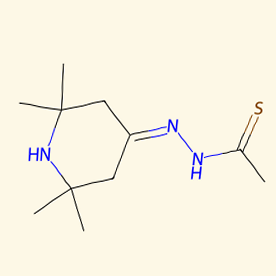 CC(=S)NN=C1CC(C)(C)NC(C)(C)C1